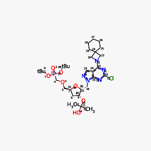 CC(C)(C)OP(=O)(COC[C@@H]1C[C@@H](OC(C)(C)O)[C@@H](Cn2ncc3c(N4CC5(CCCCC5)C4)nc(Cl)nc32)O1)OC(C)(C)C